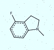 CN1CCc2c(F)cccc21